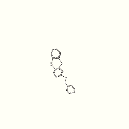 c1ccc(CCc2ccc3c(c2)Cc2ccccc2S3)cc1